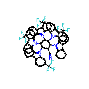 N#Cc1c(-n2c3ccccc3c3ccc(C(F)(F)F)cc32)c(-n2c3ccccc3c3ccccc32)c(-n2c3ccccc3c3ccc(C(F)(F)F)cc32)c(-n2c3ccccc3c3ccc(C(F)(F)F)cc32)c1-n1c2ccccc2c2ccc(C(F)(F)F)cc21